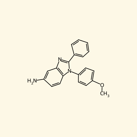 COc1ccc(-n2c(-c3ccccc3)nc3cc(N)ccc32)cc1